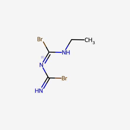 CCN/C(Br)=N\C(=N)Br